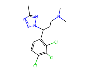 Cc1nnn(C(CCN(C)C)c2ccc(Cl)c(Cl)c2Cl)n1